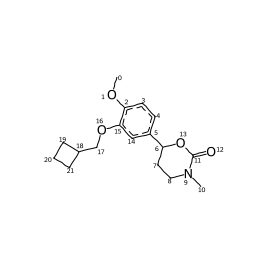 COc1ccc(C2CCN(C)C(=O)O2)cc1OCC1CCC1